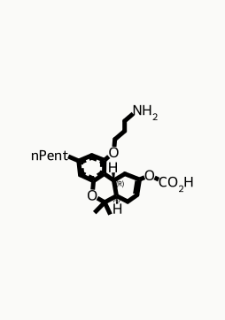 CCCCCc1cc(OCCCN)c2c(c1)OC(C)(C)[C@@H]1CC=C(OC(=O)O)C[C@@H]21